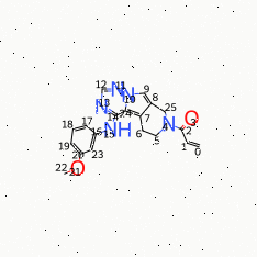 C=CC(=O)N1CCc2c(cn3ncnc(Nc4cccc(OC)c4)c23)C1